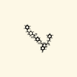 Cc1ccc2c(NCc3ccc(NC(=O)C4CCN(Cc5ccccc5)CC4)cc3)nc(N(C)CCc3ccccn3)nc2c1